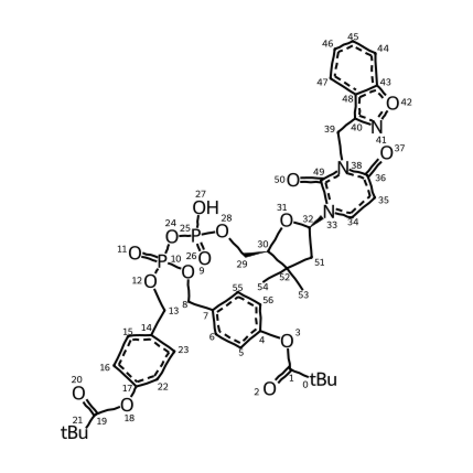 CC(C)(C)C(=O)Oc1ccc(COP(=O)(OCc2ccc(OC(=O)C(C)(C)C)cc2)OP(=O)(O)OC[C@H]2O[C@@H](n3ccc(=O)n(Cc4noc5ccccc45)c3=O)CC2(C)C)cc1